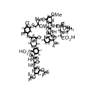 COC(=O)CSc1cc(/N=c2\sc(=O)n3n2CCCC3)c(F)cc1Cl.COc1cc(OC)nc(NC(=O)NS(=O)(=O)c2ncccc2C(=O)N(C)C)n1.C[S+](C)C.O=C(Nc1nc(OC(F)F)cc(OC(F)F)n1)NS(=O)(=O)c1ccccc1C(=O)O.O=C(O)CNCP(=O)([O-])O